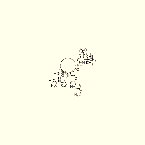 COc1ccc2c(O[C@@H]3C[C@H]4C(=O)N[C@]5(C(=O)O)CC5CCCCCCC[C@H](NC(=O)NC(C(=O)N(C)S(C)(=O)=O)C(C)(C)C)C(=O)N4C3)cc(-c3csc(NC(C)C)n3)nc2c1